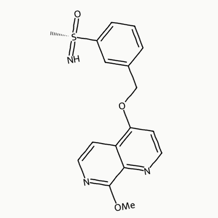 COc1nccc2c(OCc3cccc([S@@](C)(=N)=O)c3)ccnc12